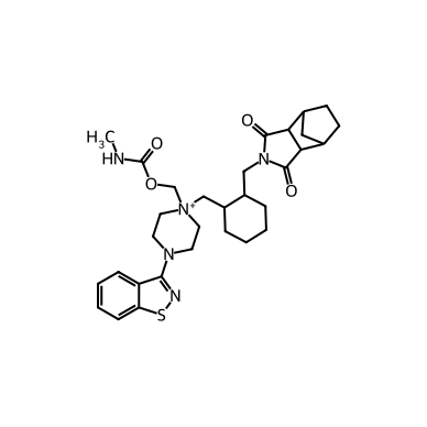 CNC(=O)OC[N+]1(CC2CCCCC2CN2C(=O)C3C4CCC(C4)C3C2=O)CCN(c2nsc3ccccc23)CC1